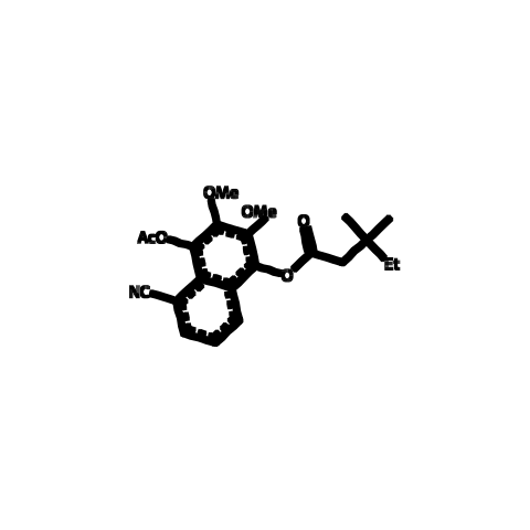 CCC(C)(C)CC(=O)Oc1c(OC)c(OC)c(OC(C)=O)c2c(C#N)cccc12